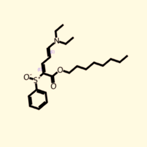 CCCCCCCCOC(=O)/C(=C\C=C\N(CC)CC)[S+]([O-])c1ccccc1